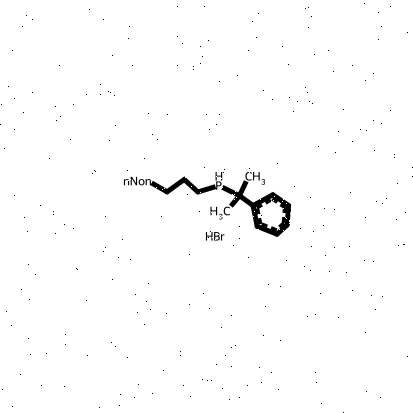 Br.CCCCCCCCCCCCPC(C)(C)c1ccccc1